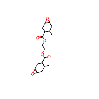 CC1CC2OC2CC1C(=O)OCCOC(=O)C1CC2OC2CC1C